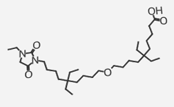 CCN1CC(=O)N(CCCCC(CC)(CC)CCCCOCCCCC(CC)(CC)CCCCC(=O)O)C1=O